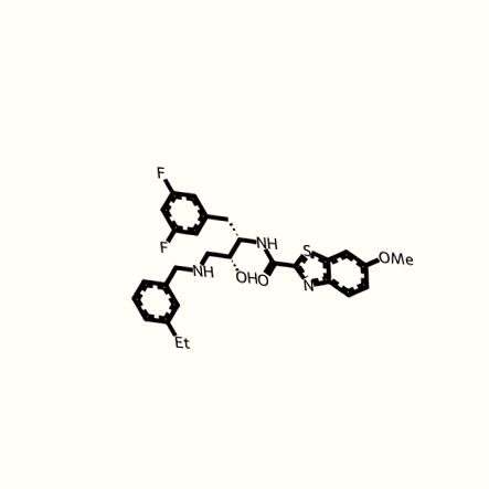 CCc1cccc(CNC[C@@H](O)[C@H](Cc2cc(F)cc(F)c2)NC(=O)c2nc3ccc(OC)cc3s2)c1